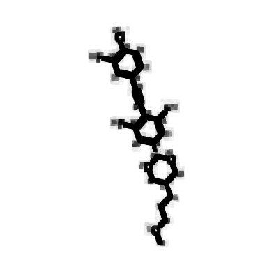 COCCC[C@H]1CO[C@H](c2cc(F)c(C#Cc3ccc(Cl)c(F)c3)c(F)c2)OC1